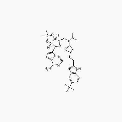 CC(C)N(C[C@H]1O[C@@H](c2ccc3c(N)ncnn23)[C@@H]2OC(C)(C)O[C@@H]21)[C@H]1C[C@H](CCc2nc3cc(C(C)(C)C)ccc3[nH]2)C1